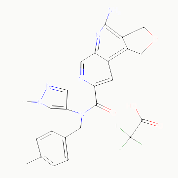 Cn1cc(N(Cc2ccc(C(F)(F)F)cc2)C(=O)c2cc3c4c(c(N)nc3cn2)COC4)cn1.O=C(O)C(F)(F)F